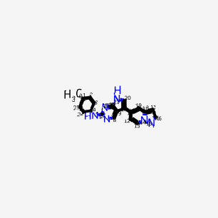 C[C@H]1CC[C@@H](Nc2ncc3c(-c4ccn5nccc5c4)c[nH]c3n2)CC1